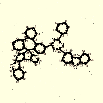 c1ccc(-c2nc(-c3ccc4c(c3)-c3ccccc3-c3ccccc3C43c4ccccc4-c4c3ccc3oc5ccccc5c43)nc(-c3ccc4oc5ccccc5c4c3)n2)cc1